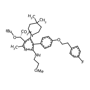 COCCNc1nc(C)c([C@H](OC(C)(C)C)C(=O)O)c(N2CCC(C)(C)CC2)c1-c1ccc(OCCc2ccc(F)cc2)cc1